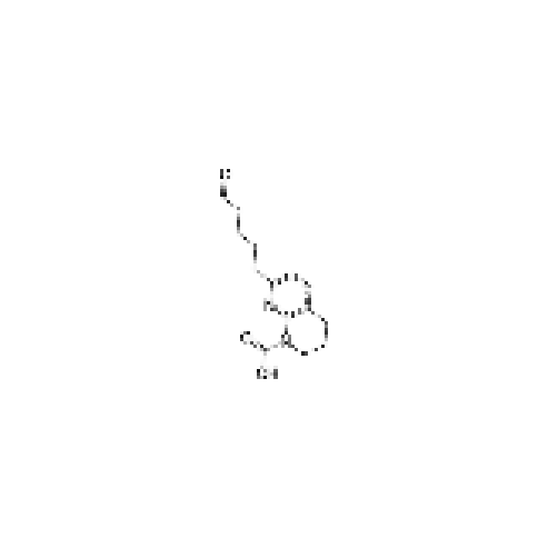 O=CCCCCc1ccc2c(n1)N(C(=O)O)CCC2